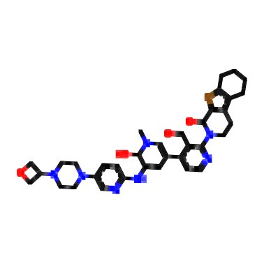 CN1C=C(c2ccnc(N3CCc4c(sc5c4CCCC5)C3=O)c2C=O)C=C(Nc2ccc(N3CCN(C4COC4)CC3)cn2)C1O